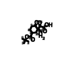 CC(C)(C)OC(=O)C1CCC(=O)C(N)(C(=O)C(=O)O)C1